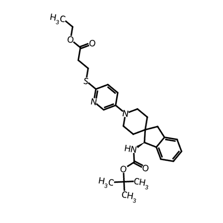 CCOC(=O)CCSc1ccc(N2CCC3(CC2)Cc2ccccc2[C@H]3NC(=O)OC(C)(C)C)cn1